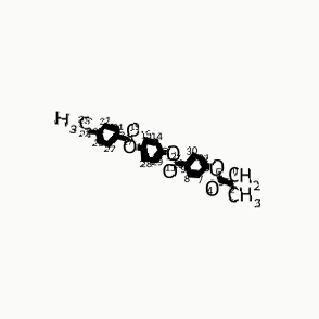 C=C(C)C(=O)Oc1ccc(C(=O)Oc2ccc(OC(=O)c3ccc(CC)cc3)cc2)cc1